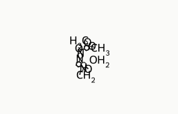 C=CCN1C(=O)CCc2c(N3CCN(C(=O)c4ccc(OC)c(OC)c4)CC3)cccc21.O